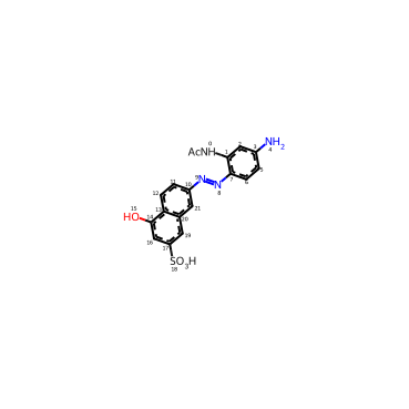 CC(=O)Nc1cc(N)ccc1N=Nc1ccc2c(O)cc(S(=O)(=O)O)cc2c1